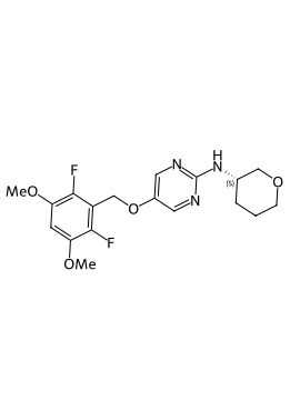 COc1cc(OC)c(F)c(COc2cnc(N[C@H]3CCCOC3)nc2)c1F